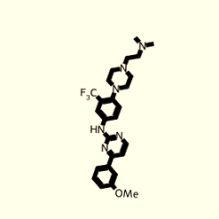 COc1cccc(-c2ccnc(Nc3ccc(N4CCN(CCN(C)C)CC4)c(C(F)(F)F)c3)n2)c1